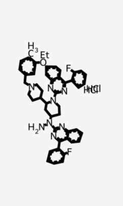 CCOc1cc(CN2CCC(C3CC(N(N)c4nc(-c5ccccc5F)c5ccccc5n4)CCN3c3nc(-c4ccccc4F)c4ccccc4n3)CC2)ccc1C.Cl.Cl